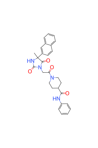 CC1(c2ccc3ccccc3c2)NC(=O)N(CC(=O)N2CCC(C(=O)Nc3ccccc3)CC2)C1=O